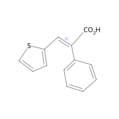 O=C(O)/C(=C/c1cccs1)c1ccccc1